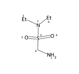 CCN(CC)S(=O)(=O)CN